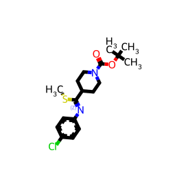 CS/C(=N\c1ccc(Cl)cc1)C1CCN(C(=O)OC(C)(C)C)CC1